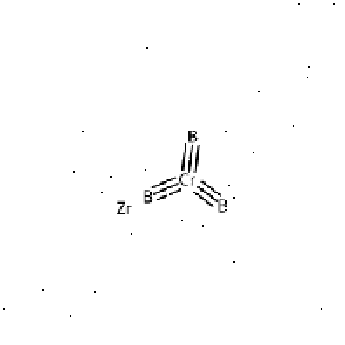 [B]#[Cr](#[B])#[B].[Zr]